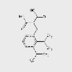 CC(C)c1cccc(CC(C(=O)O)C(=O)O)c1C(C)C